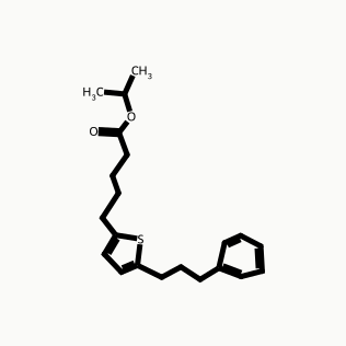 CC(C)OC(=O)CCCCc1ccc(CCCc2ccccc2)s1